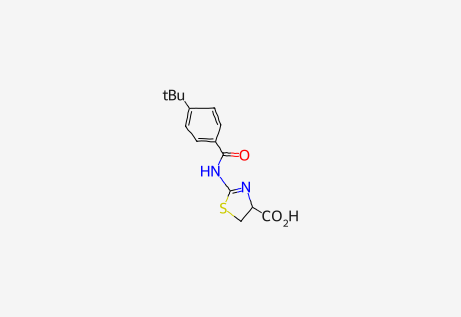 CC(C)(C)c1ccc(C(=O)NC2=NC(C(=O)O)CS2)cc1